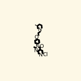 Cc1nc2cnc(Cl)cc2c(=O)n1-c1ccc(OCCCN2CCC[C@H](C)C2)cc1